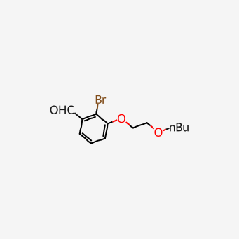 CCCCOCCOc1cccc(C=O)c1Br